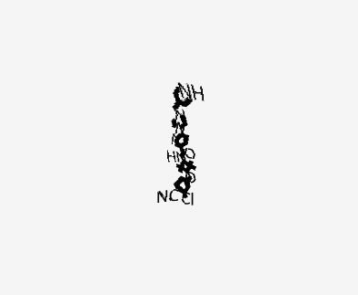 CC1(C)[C@H](NC(=O)c2ccc(N3CCN(CC4CCNCC4)CC3)nc2)C(C)(C)[C@H]1Oc1ccc(C#N)c(Cl)c1